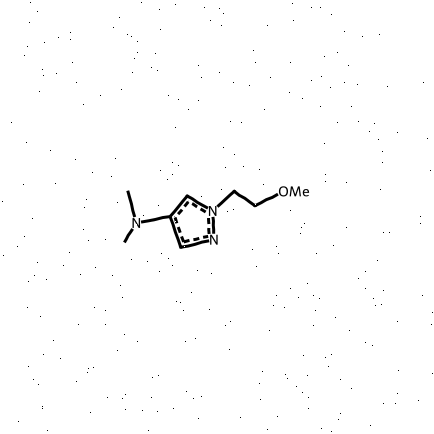 COCCn1cc(N(C)C)cn1